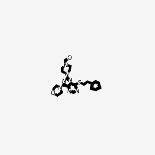 O=CN1CCN(c2nc(N3CCOCC3)c3ncnc(SCCc4ccccc4)c3n2)CC1